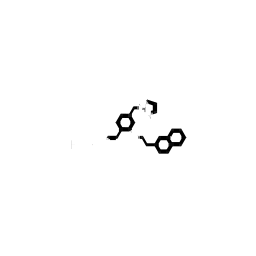 CCOC(=O)/C=C/c1ccc(Cn2cccn2)cc1OCCc1ccc2ccccc2c1